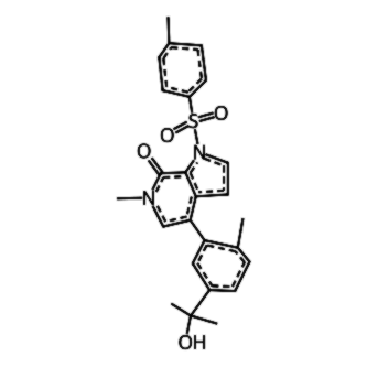 Cc1ccc(S(=O)(=O)n2ccc3c(-c4cc(C(C)(C)O)ccc4C)cn(C)c(=O)c32)cc1